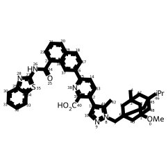 COC12CC3(C)CC(Cn4ncc(-c5ccc(-c6ccc7cccc(C(=O)Nc8nc9ccccc9s8)c7c6)nc5C(=O)O)c4C)(C1)CC(C(C)C)(C3)C2